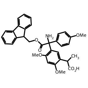 COc1ccc(C(N)(C(=O)OCC2c3ccccc3-c3ccccc32)c2cc(C(C)C(=O)O)c(OC)cc2OC)cc1